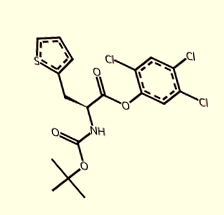 CC(C)(C)OC(=O)N[C@@H](Cc1cccs1)C(=O)Oc1cc(Cl)c(Cl)cc1Cl